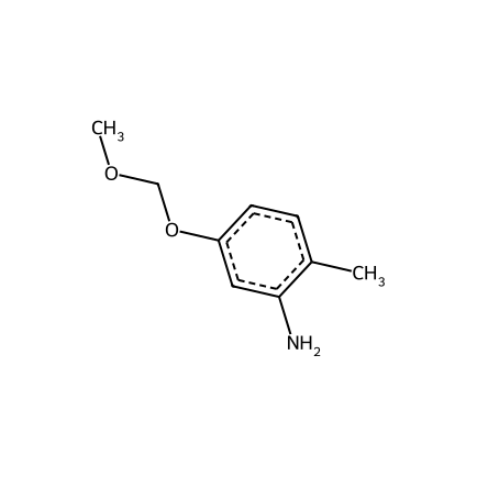 COCOc1ccc(C)c(N)c1